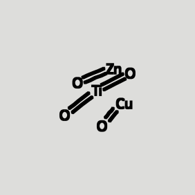 [O]=[Cu].[O]=[Ti]=[O].[O]=[Zn]